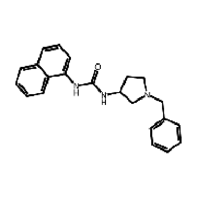 O=C(Nc1cccc2ccccc12)N[C@H]1CCN(Cc2ccccc2)C1